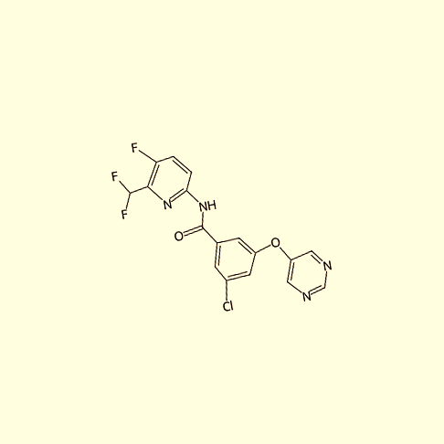 O=C(Nc1ccc(F)c(C(F)F)n1)c1cc(Cl)cc(Oc2cncnc2)c1